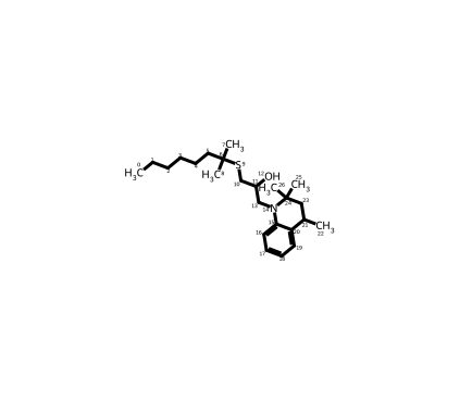 CCCCCCC(C)(C)SCC(O)CN1c2ccccc2C(C)CC1(C)C